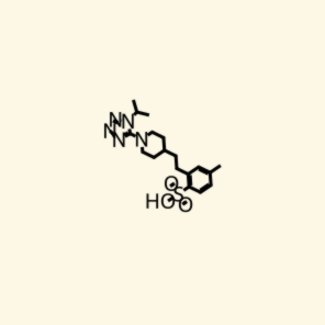 Cc1ccc(S(=O)(=O)O)c(CCC2CCN(c3nnnn3C(C)C)CC2)c1